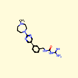 CN1CCCN(c2ncc(-c3cccc(CNC(=O)NC(=N)N)c3)cn2)CC1